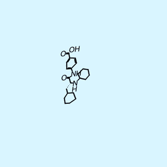 O=C(O)c1ccc(NC(=O)[C@@H](CC2CCCCC2)NC2CCCCC2)cc1